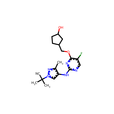 Cc1nn(C(C)(C)C#N)cc1Nc1ncc(F)c(OCC2CCC(O)C2)n1